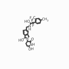 Cc1ccc(C(F)(F)[C@H](O)NCc2ccc3c(c2)CN(C2CC[C@H](O)NC2=O)[C@H]3O)c(C(F)(F)F)c1